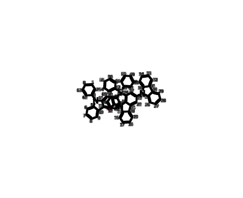 c1ccc(-n2c3ccccc3c3cc(-n4c5ccccc5c5cc(-n6c7ccccc7c7ccccc76)cc([Si](c6ccccc6)(c6ccccc6)c6ccccc6)c54)ccc32)cc1